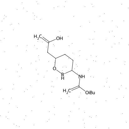 C=C(O)CC1CCC(NC(=C)OCC(C)C)BO1